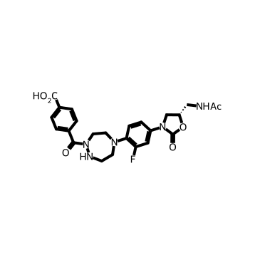 CC(=O)NC[C@H]1CN(c2ccc(N3CCNN(C(=O)c4ccc(C(=O)O)cc4)CC3)c(F)c2)C(=O)O1